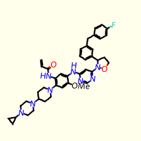 C=CC(=O)Nc1cc(Nc2cc(N3OCCC3c3cccc(Cc4ccc(F)cc4)c3)ncn2)c(OC)cc1N1CCC(N2CCN(C3CC3)CC2)CC1